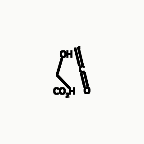 O=C(O)CO.[C]=C=O